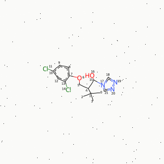 CC(C)(C)C(COc1ccc(Cl)cc1Cl)C(O)n1cnnc1